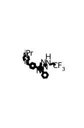 CC(C)N1CCN(Cc2ccc(-c3nn(C4CCCCC4)c4nc(NCCC(F)(F)F)ncc34)cc2)CC1